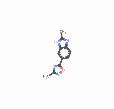 Cc1noc(-c2ccc3nc(C)[nH]c3c2)n1